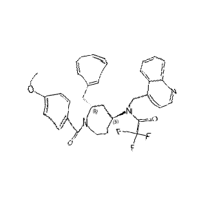 COc1ccc(C(=O)N2CC[C@H](N(Cc3ccnc4ccccc34)C(=O)C(F)(F)F)C[C@H]2Cc2ccccc2)cc1